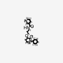 O=C(NCCCOC1CC=NN(c2ccccc2)C1=O)c1cccnc1